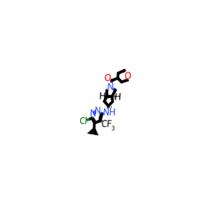 O=C(C1CCOCC1)N1C[C@H]2C[C@H](Nc3nnc(Cl)c(C4CC4)c3C(F)(F)F)C[C@H]2C1